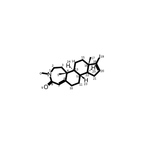 CN1CC[C@@]2(C)C(=CC1=O)CC[C@@H]1[C@@H]2CC[C@]2(C)C(I)=CC[C@@H]12